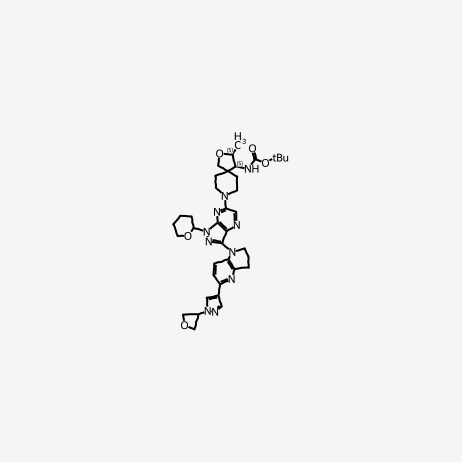 C[C@@H]1OCC2(CCN(c3cnc4c(N5CCCc6nc(-c7cnn(C8COC8)c7)ccc65)nn(C5CCCCO5)c4n3)CC2)[C@@H]1NC(=O)OC(C)(C)C